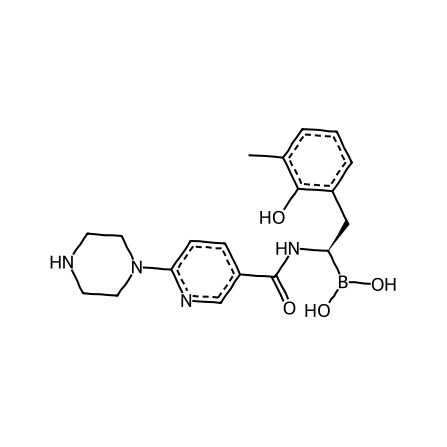 Cc1cccc(C[C@H](NC(=O)c2ccc(N3CCNCC3)nc2)B(O)O)c1O